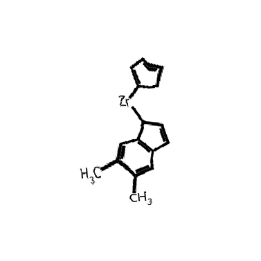 Cc1cc2c(cc1C)[CH]([Zr][C]1=CC=CC1)C=C2